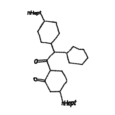 CCCCCCCC1CCC(C(C(=O)C2CCC(CCCCCCC)CC2=O)C2CCCCC2)CC1